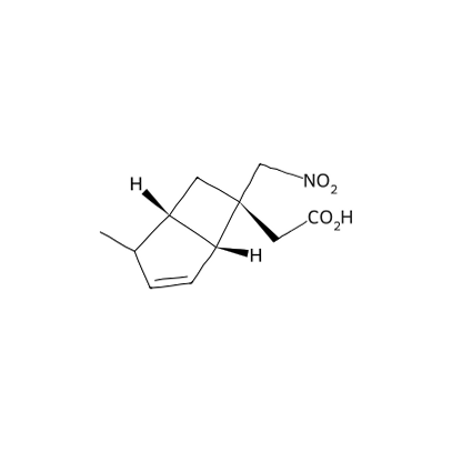 CC1C=C[C@@H]2[C@H]1C[C@]2(CC(=O)O)C[N+](=O)[O-]